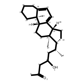 CC(=O)CC(O)C[C@@H](C)[C@H]1CC[C@H]2C3=CC=C4CCCC[C@]4(C)[C@H]3CC[C@]12C